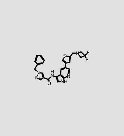 O=C(Nc1c[nH]c2ncc(-c3csc(CN4CC(F)(F)C4)c3)cc12)c1cnn(Cc2ccccc2)c1